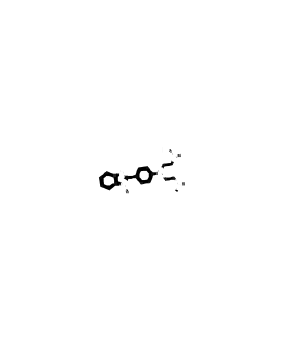 CCN(CC)CCN(CCN(CC)CC)c1ccc(-c2nc3ccccc3n2C(C)=O)cc1